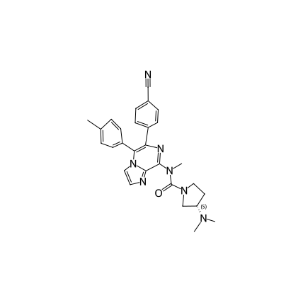 Cc1ccc(-c2c(-c3ccc(C#N)cc3)nc(N(C)C(=O)N3CC[C@H](N(C)C)C3)c3nccn23)cc1